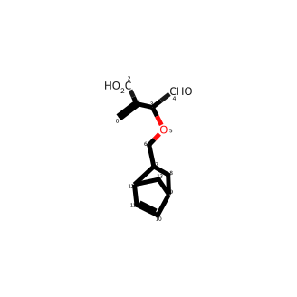 C=C(C(=O)O)C(C=O)OCC1CC2C=CC1C2